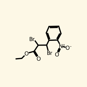 CCOC(=O)C(Br)C(Br)c1ccccc1[N+](=O)[O-]